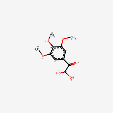 COc1cc(C(=O)C(O)O)cc(OC)c1OC